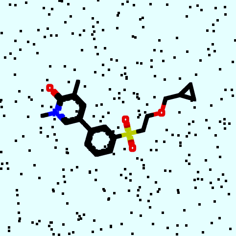 Cc1cc(-c2cccc(S(=O)(=O)CCOCC3CC3)c2)cn(C)c1=O